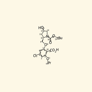 CC(C)Oc1cc(Cl)cc(OC[C@H]2C[C@@H](O)CN2C(=O)OC(C)(C)C)c1C(=O)O